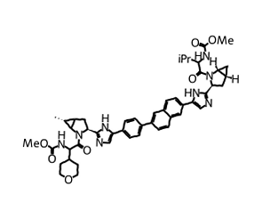 COC(=O)NC(C(=O)N1[C@@H]2C[C@@H]2C[C@H]1c1ncc(-c2ccc3cc(-c4ccc(-c5cnc([C@@H]6CC7C([C@@H]7C)N6C(=O)C(NC(=O)OC)C6CCOCC6)[nH]5)cc4)ccc3c2)[nH]1)C(C)C